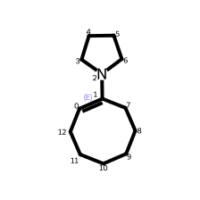 C1=C(/N2CCCC2)CCCCCC/1